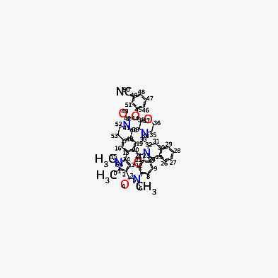 Cc1c(C(=O)N(C)c2ccccc2)cc(-c2cc3c(cc2C(=O)N2Cc4ccccc4C[C@H]2CN2CCOCC2)CN(C(=O)Oc2cccc(C#N)c2)CC3)n1C